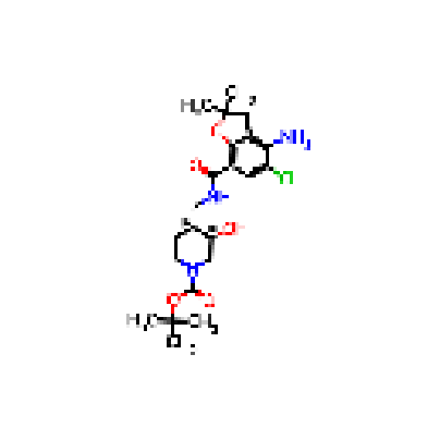 CC(C)(C)OC(=O)N1CC[C@H](CNC(=O)c2cc(Cl)c(N)c3c2OC(C)(C)C3)[C@@H](O)C1